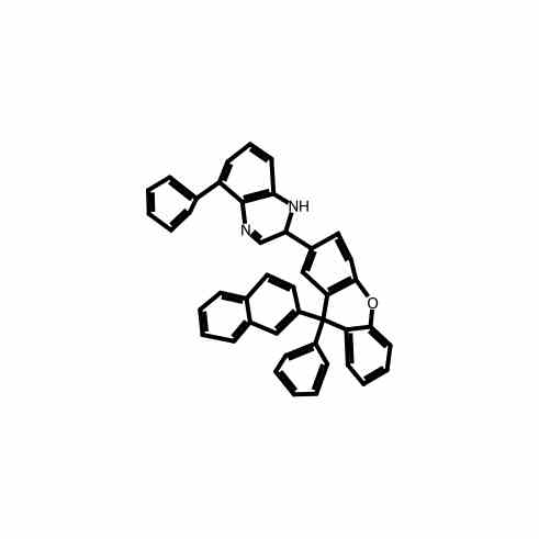 C1=Nc2c(cccc2-c2ccccc2)NC1c1ccc2c(c1)C(c1ccccc1)(c1ccc3ccccc3c1)c1ccccc1O2